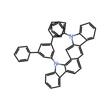 c1ccc(-c2cc(-c3ccccc3)cc(-n3c4ccccc4c4ccc5cc6c7ccccc7n(-c7ccccc7)c6cc5c43)c2)cc1